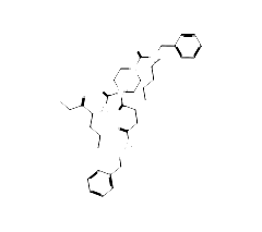 CCCCC[C@H](CC(=O)NOCc1ccccc1)C(=O)[N+]1(C(=O)N[C@H](C(=O)CC)[C@@H](C)CC)CCN(C(=O)OCc2ccccc2)CC1